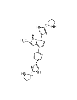 Cc1cc2c(-c3ccc(-c4c[nH]c([C@@H]5CCCN5)n4)cc3)ccc(-c3c[nH]c([C@@H]4CCCN4)n3)c2[nH]1